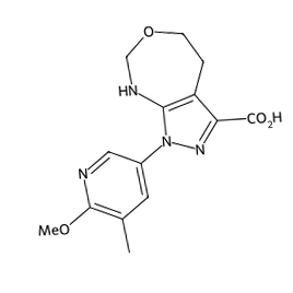 COc1ncc(-n2nc(C(=O)O)c3c2NCOCC3)cc1C